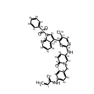 C=CC(=O)Nc1ccc(Cn2cc(Nc3ncc(Cl)c(-c4cn(S(=O)(=O)c5ccccc5)c5ncccc45)n3)ccc2=O)cc1